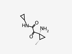 C[C@H]1C[C@]1(N)C(=O)C(=O)NC1CC1